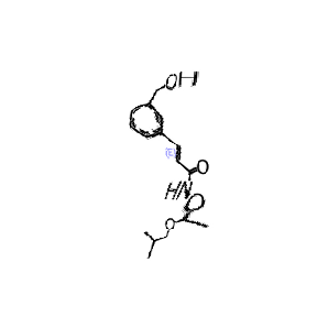 CC(C)COC(C)ONC(=O)/C=C/c1cccc(CO)c1